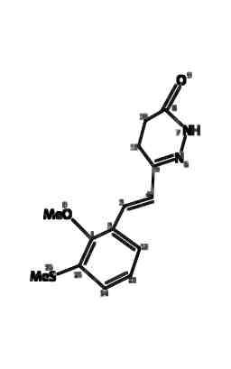 COc1c(C=CC2=NNC(=O)CC2)cccc1SC